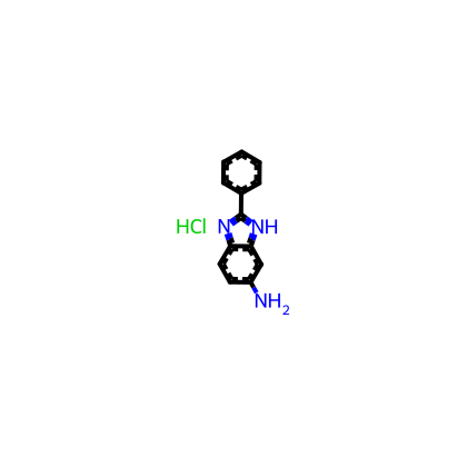 Cl.Nc1ccc2nc(-c3ccccc3)[nH]c2c1